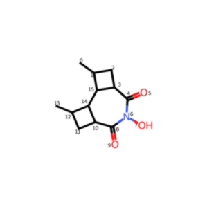 CC1CC2C(=O)N(O)C(=O)C3CC(C)C3C12